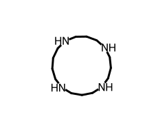 C1CCNCCCNCCCNCCCNC1